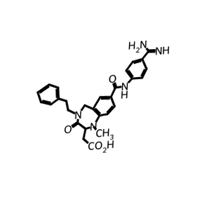 CN1c2ccc(C(=O)Nc3ccc(C(=N)N)cc3)cc2CN(CCc2ccccc2)C(=O)C1CC(=O)O